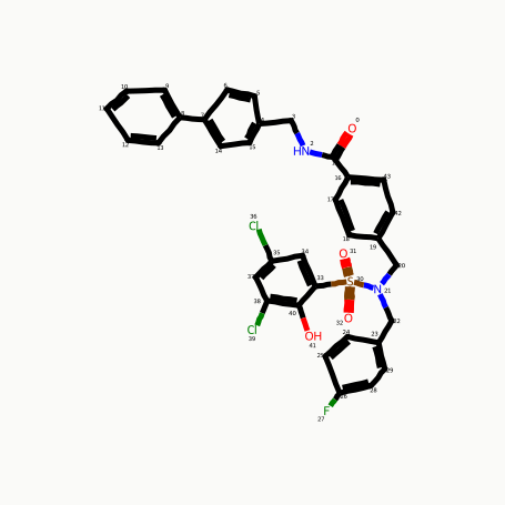 O=C(NCc1ccc(-c2ccccc2)cc1)c1ccc(CN(Cc2ccc(F)cc2)S(=O)(=O)c2cc(Cl)cc(Cl)c2O)cc1